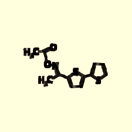 CC(=O)O/N=C(\C)c1ccc(-c2cccs2)s1